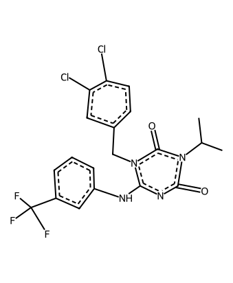 CC(C)n1c(=O)nc(Nc2cccc(C(F)(F)F)c2)n(Cc2ccc(Cl)c(Cl)c2)c1=O